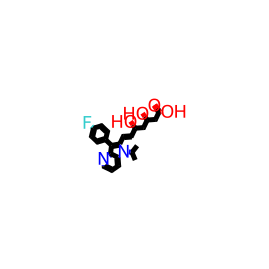 CC(C)n1c(C=CC(O)CC(O)CC(=O)O)c(-c2ccc(F)cc2)c2ncccc21